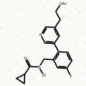 CCN(Cc1cc(F)ccc1-c1cncc(CCOC(C)=O)c1)C(=O)C1CC1